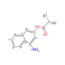 Nc1cc(OC(=O)C(Br)Br)cc2ccccc12